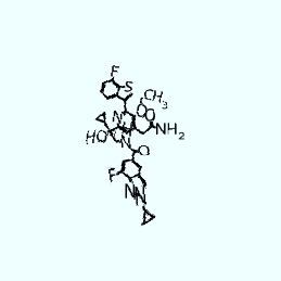 CCOc1c(CC(N)=O)cc([C@@](O)(CNC(=O)c2cc(F)c3nn(C4CC4)cc3c2)C2CC2)nc1-c1csc2c(F)cccc12